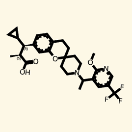 COc1ncc(C(F)(F)F)cc1C(C)N1CCC2(CCc3ccc([C@H](C4CC4)[C@H](C)C(=O)O)cc3O2)CC1